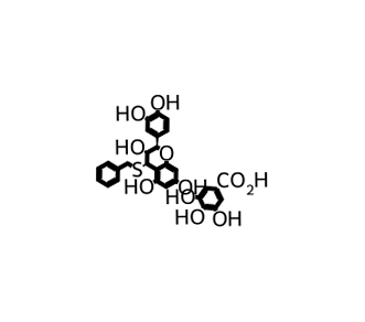 O=C(O)c1cc(O)c(O)c(O)c1.Oc1cc(O)c2c(c1)O[C@H](c1ccc(O)c(O)c1)[C@H](O)[C@H]2SCc1ccccc1